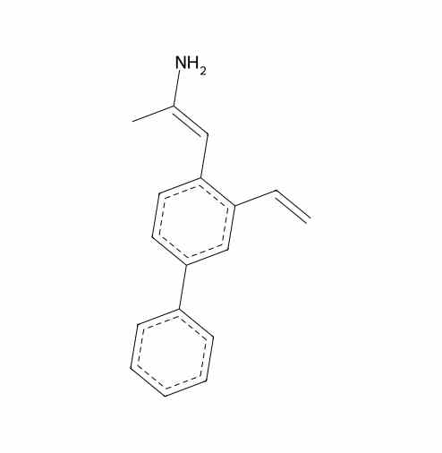 C=Cc1cc(-c2ccccc2)ccc1/C=C(\C)N